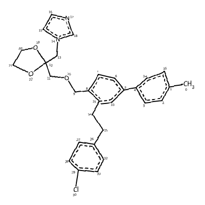 Cc1ccc(-c2ccc(COCC3(Cn4ccnc4)OCCO3)c(CCc3ccc(Cl)cc3)c2)cc1